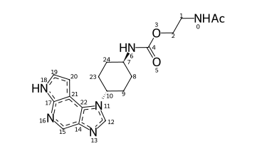 CC(=O)NCCOC(=O)N[C@H]1CC[C@H](n2cnc3cnc4[nH]ccc4c32)CC1